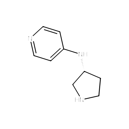 c1cc(N[C@@H]2CCNC2)ccn1